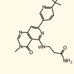 Cn1cnc2cc(-c3ccc(C(C)(C)O)nc3)nc(NCCC(N)=O)c2c1=O